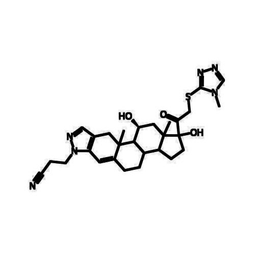 Cn1cnnc1SCC(=O)C1(O)CCC2C3CCC4=Cc5c(cnn5CCC#N)CC4(C)C3[C@@H](O)CC21C